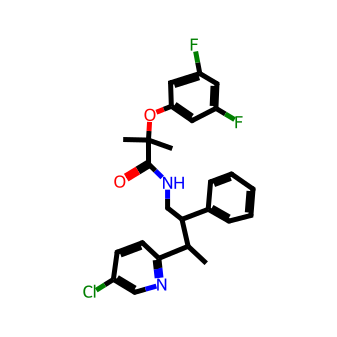 CC(c1ccc(Cl)cn1)C(CNC(=O)C(C)(C)Oc1cc(F)cc(F)c1)c1ccccc1